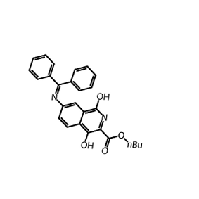 CCCCOC(=O)c1nc(O)c2cc(N=C(c3ccccc3)c3ccccc3)ccc2c1O